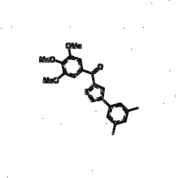 COc1cc(C(=O)c2cc(-c3cc(C)cc(C)c3)cs2)cc(OC)c1OC